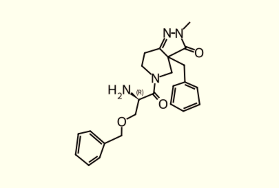 CN1N=C2CCN(C(=O)[C@H](N)COCc3ccccc3)CC2(Cc2ccccc2)C1=O